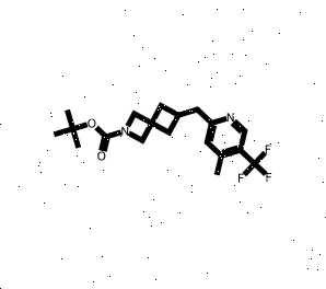 Cc1cc(CC2CC3(C2)CN(C(=O)OC(C)(C)C)C3)ncc1C(F)(F)F